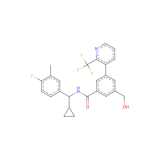 Cc1cc(C(NC(=O)c2cc(CO)cc(-c3cccnc3C(F)(F)F)c2)C2CC2)ccc1F